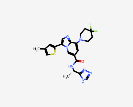 Cc1csc(-c2cnc3c(N4CCC(F)(F)CC4)cc(C(=O)N[C@@H](C)c4nnc[nH]4)cn23)c1